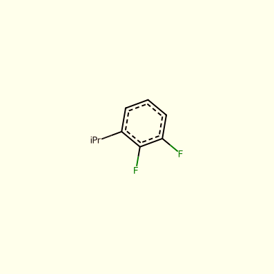 [CH2]C(C)c1cccc(F)c1F